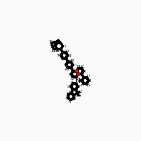 CC1(C)c2ccccc2-c2ccc(N(c3ccc(-c4ccc(-c5ccc(C67CC8CC9CC(C6)C9(C8)C7)cc5)cc4)cc3)c3ccccc3-c3ccccc3)cc21